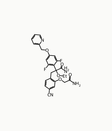 CCOC(Cc1ccc(C#N)cc1OCC(N)=O)(C(N)=O)c1c(F)cc(OCc2ccccn2)cc1F